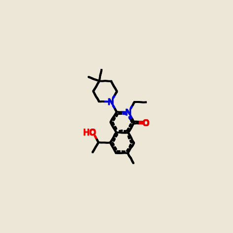 CCn1c(N2CCC(C)(C)CC2)cc2c(C(C)O)cc(C)cc2c1=O